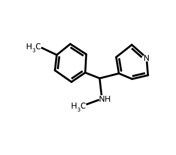 CNC(c1ccncc1)c1ccc(C)cc1